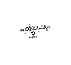 C[C@@H](CNC(=O)c1ccc(BO)cc1F)N(CC(=O)NCCCC[C@H](N)C(=O)O)C(=O)c1ccc(B(O)O)cc1F